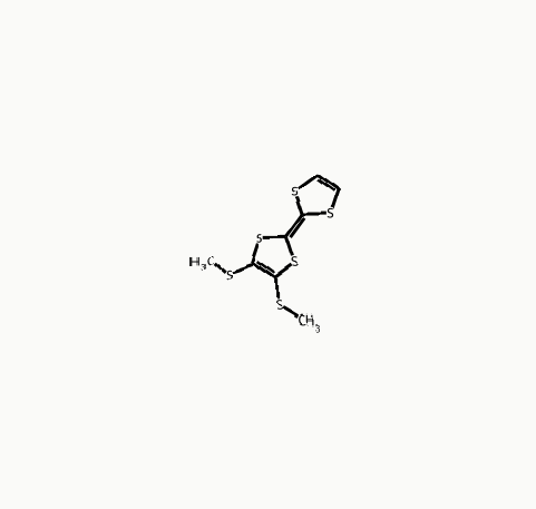 CSC1=C(SC)SC(=C2SC=CS2)S1